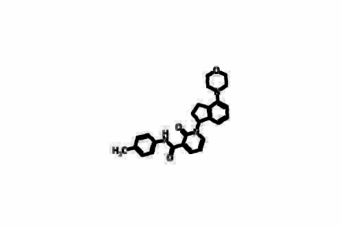 Cc1ccc(NC(=O)c2cccn(C3CCc4c3cccc4N3CCOCC3)c2=O)cc1